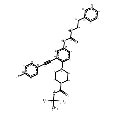 CC(C)(C)OC(=O)N1CCN(c2ccc(NC(=O)NCCc3cccnc3)cc2C#Cc2ccc(F)cc2)CC1